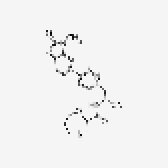 Cn1c(=O)oc2ccc(-c3ccc(CC(C#N)NC(=O)C4CNCCCO4)nn3)cc21